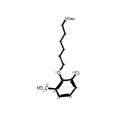 CCCCCCCCCCCCCCCCOc1c(Cl)cccc1C(=O)O